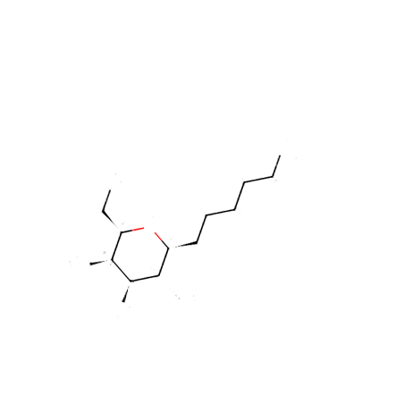 CC(=O)N[C@@H]1[C@@H](OC(C)=O)[C@@H](OC(C)=O)[C@@H](COC(C)=O)O[C@H]1CCCCCC(=O)O